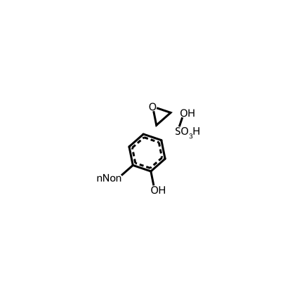 C1CO1.CCCCCCCCCc1ccccc1O.O=S(=O)(O)O